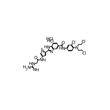 Cl.Cl.Cn1cc(NC(=O)CNC(=N)N)cc1-c1nc2cc(C(=O)Nc3ccc(N(CCCl)CCCl)c(Cl)c3)ccc2[nH]1